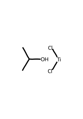 CC(C)O.[Cl][Ti][Cl]